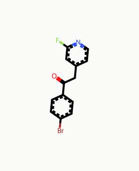 O=C(Cc1ccnc(F)c1)c1ccc(Br)cc1